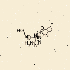 N=C(c1cnn(CCO)c1)c1c(N)ncnc1NCc1nc2ccc(F)cc2c(=O)n1C1CC1